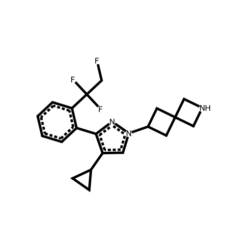 FCC(F)(F)c1ccccc1-c1nn(C2CC3(CNC3)C2)cc1C1CC1